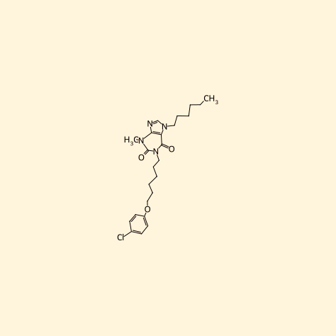 CCCCCCn1cnc2c1c(=O)n(CCCCCCOc1ccc(Cl)cc1)c(=O)n2C